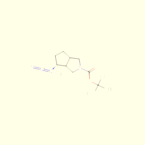 CC(C)(C)OC(=O)N1C[C@@H]2CC[C@H](N=[N+]=[N-])[C@@H]2C1